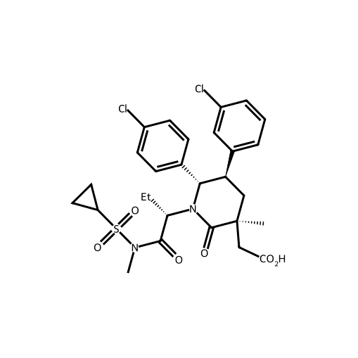 CC[C@@H](C(=O)N(C)S(=O)(=O)C1CC1)N1C(=O)[C@](C)(CC(=O)O)C[C@H](c2cccc(Cl)c2)[C@H]1c1ccc(Cl)cc1